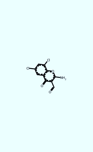 Nc1oc2c(Cl)cc(Cl)cc2c(=O)c1C=O